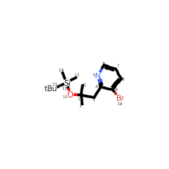 CC(C)(Cc1ncccc1Br)O[Si](C)(C)C(C)(C)C